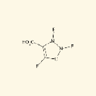 O=C(O)C1=C(F)ON(F)N1F